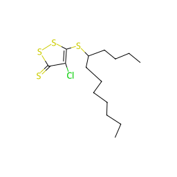 CCCCCCCC(CCCC)Sc1ssc(=S)c1Cl